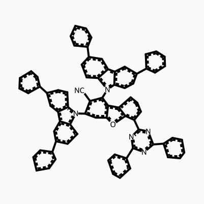 N#Cc1c(-n2c3ccc(-c4ccccc4)cc3c3cc(-c4ccccc4)ccc32)cc2oc3c(-c4nc(-c5ccccc5)nc(-c5ccccc5)n4)cccc3c2c1-n1c2ccc(-c3ccccc3)cc2c2cc(-c3ccccc3)ccc21